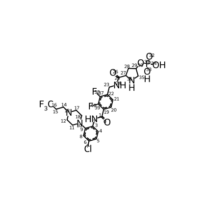 O=C(Nc1ccc(Cl)cc1N1CCN(CCC(F)(F)F)CC1)c1ccc(CNC(=O)C2CC(OP(=O)(O)O)CN2)c(F)c1F